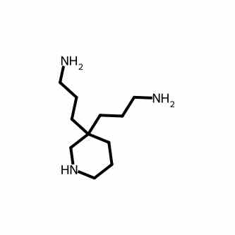 NCCCC1(CCCN)CCCNC1